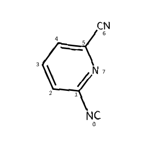 [C-]#[N+]c1cccc(C#N)n1